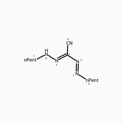 CCCCCN=NC(C#N)=NNCCCCC